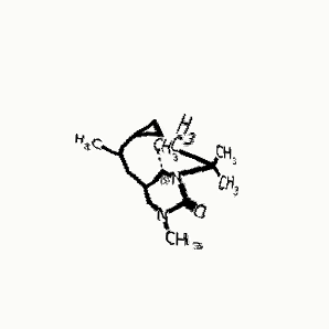 CC(CC1CN(C)C(=O)N(C(C)(C)C)[C@H]1C)C1CC1